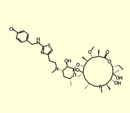 CC[C@H]1OC(=O)[C@H](C)[C@@H](OC)[C@H](C)[C@@H](O[C@@H]2O[C@H](C)C[C@H](N(C)CCc3csc(NCc4ccc(Cl)cc4)n3)[C@H]2O)[C@](C)(O)C[C@@H](C)CN(C)[C@H](C)[C@@H](O)[C@]1(C)O